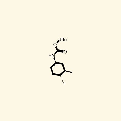 C[C@@H]1CC[C@@H](NC(=O)OC(C)(C)C)C[C@H]1C